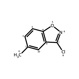 Cc1ccc2onc(Cl)c2c1